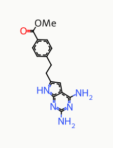 COC(=O)c1ccc(CCc2cc3c(N)nc(N)nc3[nH]2)cc1